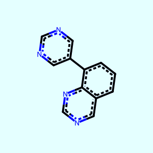 c1cc(-c2cncnc2)c2ncncc2c1